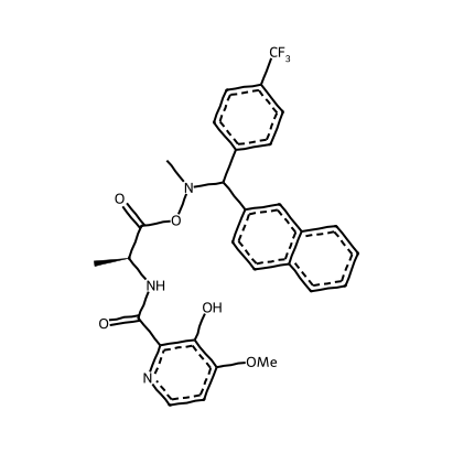 COc1ccnc(C(=O)N[C@@H](C)C(=O)ON(C)C(c2ccc(C(F)(F)F)cc2)c2ccc3ccccc3c2)c1O